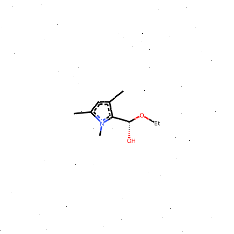 CCO[C@H](O)c1c(C)cc(C)n1C